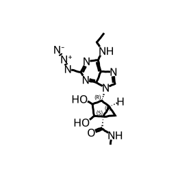 CCNc1nc(N=[N+]=[N-])nc2c1ncn2[C@H]1C(O)C(O)[C@]2(C(=O)NC)C[C@H]12